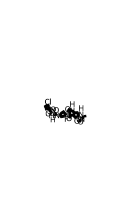 CC1=NS(=O)(=O)c2cc3c(=O)n(-c4ccc(NC(=O)NS(=O)(=O)c5ccc(Cl)s5)cc4F)c(=O)[nH]c3cc2N1